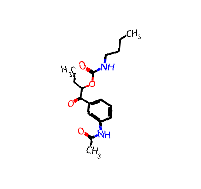 CCCCNC(=O)OC(CC)C(=O)c1cccc(NC(C)=O)c1